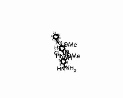 COc1cc(C(Nc2ccc(C(=N)N)cc2)P(=O)(O)OC)ccc1OCc1ccccc1.Cl